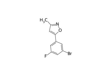 Cc1cc(-c2cc(F)cc(Br)c2)on1